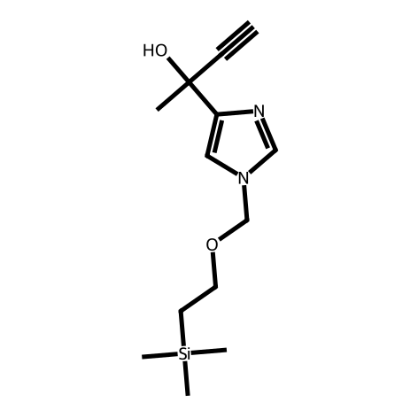 C#CC(C)(O)c1cn(COCC[Si](C)(C)C)cn1